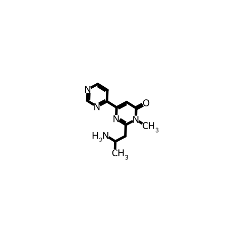 CC(N)Cc1nc(-c2ccncn2)cc(=O)n1C